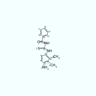 Cc1c(N)ccc(NC(=S)NC(=O)c2ccccc2)c1C